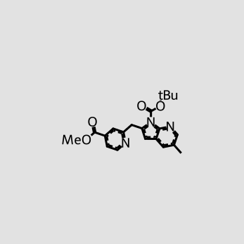 COC(=O)c1ccnc(Cc2cc3cc(C)cnc3n2C(=O)OC(C)(C)C)c1